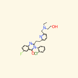 CCN(CCO)Cc1cccc(CCc2nc3ccc(F)cc3c(=O)n2-c2ccccc2Cl)n1